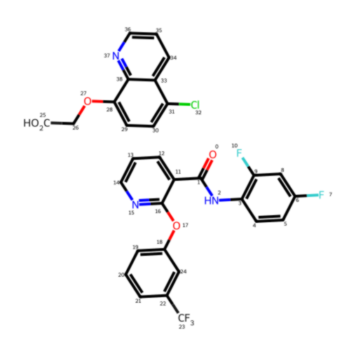 O=C(Nc1ccc(F)cc1F)c1cccnc1Oc1cccc(C(F)(F)F)c1.O=C(O)COc1ccc(Cl)c2cccnc12